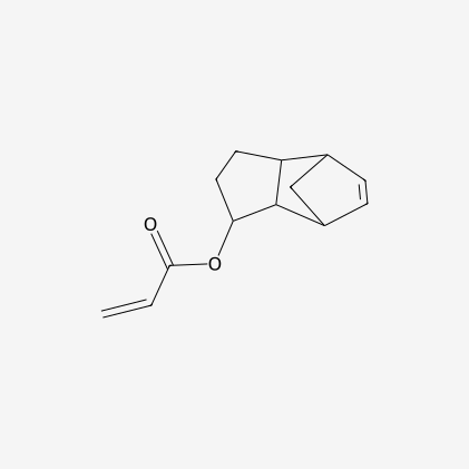 C=CC(=O)OC1CCC2C3C=CC(C3)C12